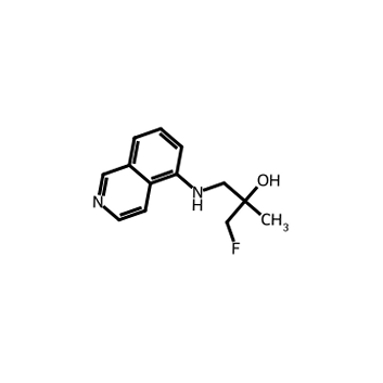 CC(O)(CF)CNc1cccc2cnccc12